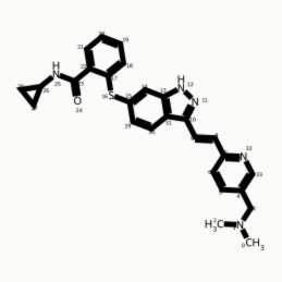 CN(C)Cc1ccc(/C=C/c2n[nH]c3cc(Sc4ccccc4C(=O)NC4CC4)ccc23)nc1